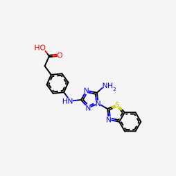 Nc1nc(Nc2ccc(CC(=O)O)cc2)nn1-c1nc2ccccc2s1